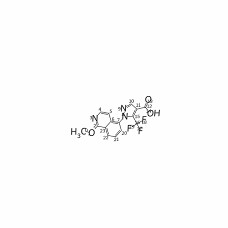 COc1nccc2c(-n3ncc(C(=O)O)c3C(F)(F)F)cccc12